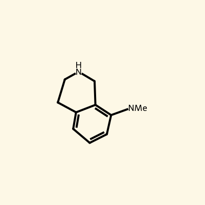 CNc1cccc2c1CNCC2